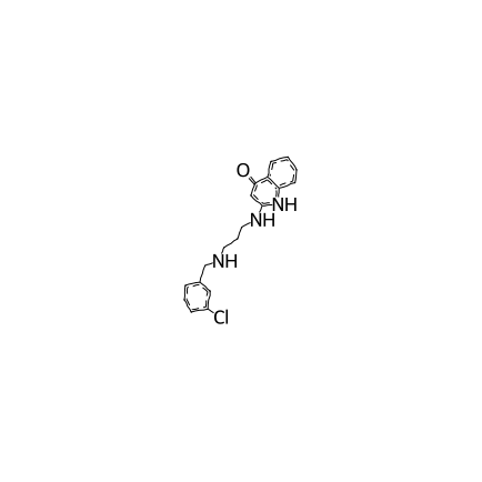 O=c1cc(NCCCNCc2cccc(Cl)c2)[nH]c2ccccc12